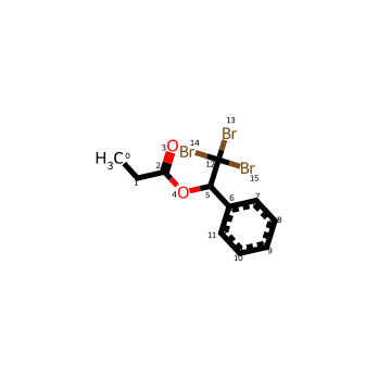 CCC(=O)OC(c1ccccc1)C(Br)(Br)Br